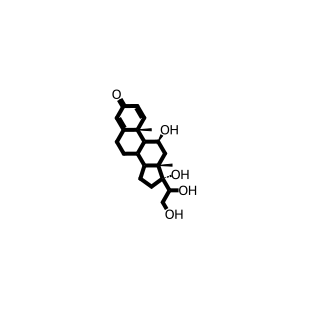 C[C@]12C=CC(=O)C=C1CCC1C2[C@@H](O)C[C@@]2(C)C1CC[C@]2(O)C(O)CO